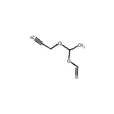 C#CCOC(C)O[C]=O